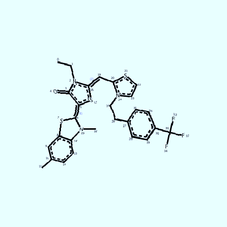 CCn1c(=O)/c(=C2\Sc3cc(C)ccc3N2C)s/c1=C\c1scc[n+]1CCc1ccc(C(F)(F)F)cc1